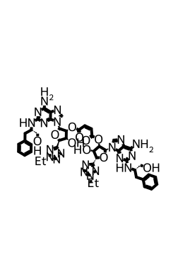 CCn1nnc([C@H]2O[C@@H](n3cnc4c(N)nc(N[C@H](CO)Cc5ccccc5)nc43)[C@H](OC(=O)/C=C\C(=O)O[C@@H]3[C@H](O)[C@@H](c4nnn(CC)n4)O[C@H]3n3cnc4c(N)nc(N[C@H](CO)Cc5ccccc5)nc43)[C@@H]2O)n1